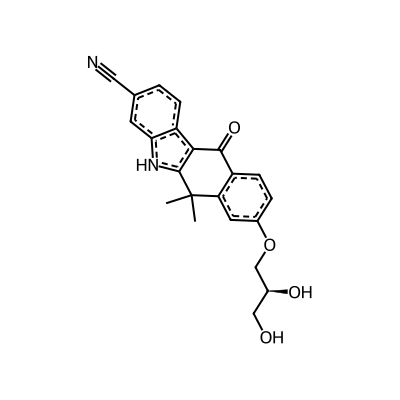 CC1(C)c2cc(OC[C@@H](O)CO)ccc2C(=O)c2c1[nH]c1cc(C#N)ccc21